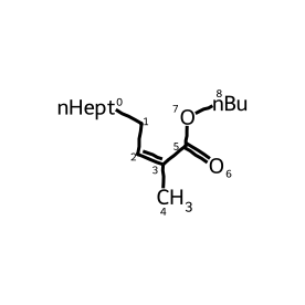 CCCCCCCCC=C(C)C(=O)OCCCC